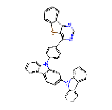 c1ccc2c(c1)sc1c(-c3ccc(-n4c5ccccc5c5ccc(-n6c7ccccc7c7ccccc76)cc54)cc3)ncnc12